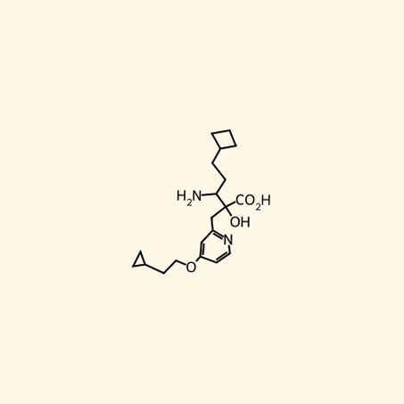 NC(CCC1CCC1)C(O)(Cc1cc(OCCC2CC2)ccn1)C(=O)O